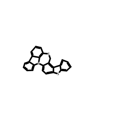 c1ccc2c(c1)B1c3ccc4sc5ccccc5c4c3CSc3cccc-2c31